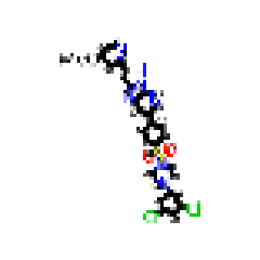 COc1ccnc(CCc2nc3cc(-c4ccc(S(=O)(=O)N5CCN(c6cc(Cl)cc(Cl)c6)CC5)cc4)cnc3[nH]2)c1